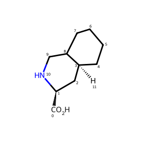 O=C(O)[C@@H]1C[C@@H]2CCCCC2CN1